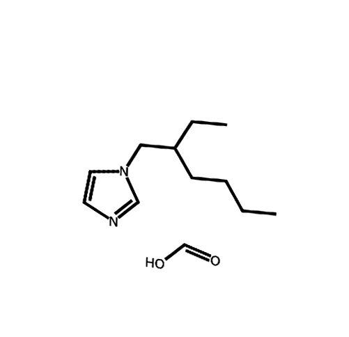 CCCCC(CC)Cn1ccnc1.O=CO